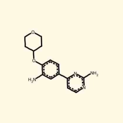 Nc1nccc(-c2ccc(OC3CCOCC3)c(N)c2)n1